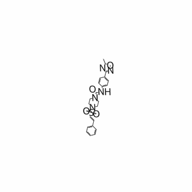 Cc1nc(-c2ccc(NC(=O)N3CCN(S(=O)(=O)C=Cc4ccccc4)CC3)cc2)no1